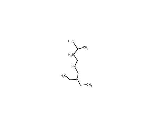 CCN(CC)CNC[SiH2]C(C)C